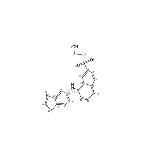 O=S(=O)(CCO)c1ccc2nccc(Nc3ccc4scnc4c3)c2c1